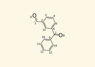 O=[C]c1cccc(C(=O)c2ccccc2)c1